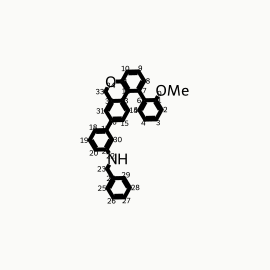 COc1ccccc1-c1cccc2c1-c1ccc(-c3cccc(NCc4ccccc4)c3)cc1CO2